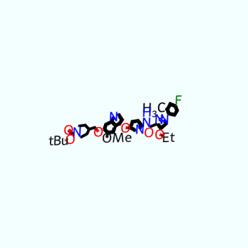 CCOc1cn(-c2ccc(F)cc2C)nc1C(=O)Nc1ccc(Oc2ccnc3cc(OCC4CCN(C(=O)OC(C)(C)C)CC4)c(OC)cc23)cn1